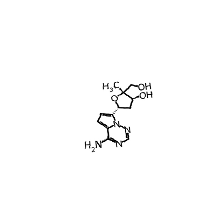 C[C@]1(CO)O[C@@H](c2ccc3c(N)ncnn23)C[C@@H]1O